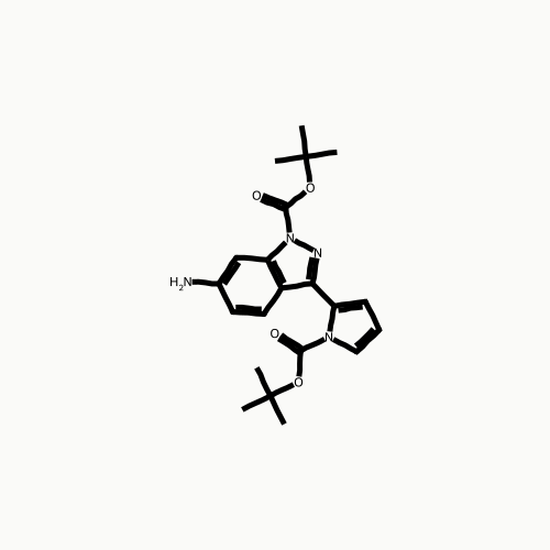 CC(C)(C)OC(=O)n1cccc1-c1nn(C(=O)OC(C)(C)C)c2cc(N)ccc12